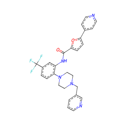 O=C(Nc1cc(C(F)(F)F)ccc1N1CCN(Cc2cccnc2)CC1)c1ccc(-c2ccncc2)o1